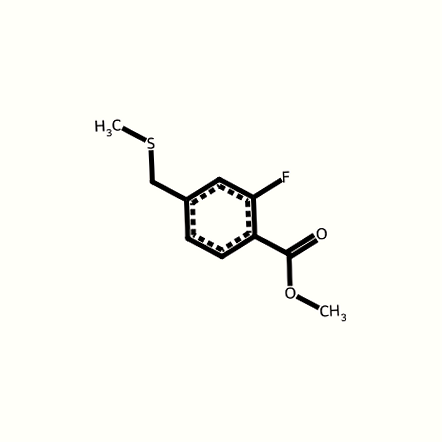 COC(=O)c1ccc(CSC)cc1F